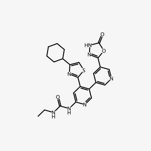 CCNC(=O)Nc1cc(-c2nc(C3CCCCC3)cs2)c(-c2cncc(-c3n[nH]c(=O)o3)c2)cn1